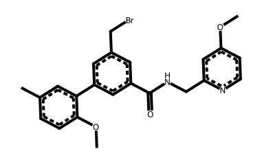 COc1ccnc(CNC(=O)c2cc(CBr)cc(-c3cc(C)ccc3OC)c2)c1